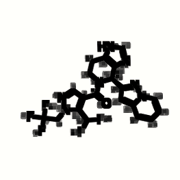 O=C(c1cnn(CC(F)(F)F)c1C(F)F)N1CCc2[nH]cnc2[C@H]1c1cc2ccccn2n1